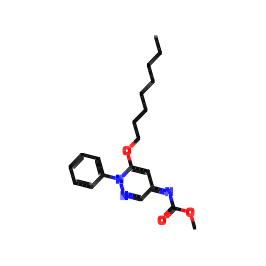 CCCCCCCCOc1cc(=NC(=O)OC)cnn1-c1ccccc1